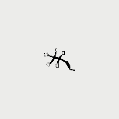 CC=CC(Cl)(Cl)C(Cl)(Cl)Cl